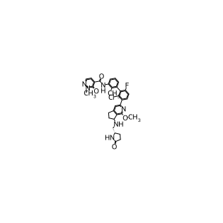 COc1nc(-c2ccc(F)c(-c3cccc(NC(=O)c4ccnn(C)c4=O)c3C)c2Cl)cc2c1[C@@H](NC[C@@H]1CCC(=O)N1)CC2